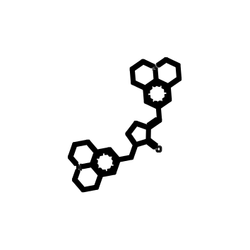 O=C1C(=Cc2cc3c4c(c2)CCCN4CCC3)CCC1Cc1cc2c3c(c1)CCCN3CCC2